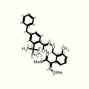 CNC(=O)/C(=N/OC)c1cccc(C)c1CO/N=C(\C)c1ccc(Cc2ccccc2)cc1C(P)(P)P